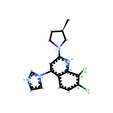 C[C@@H]1CCN(c2cc(-n3ccnc3)c3ccc(Cl)c(Cl)c3n2)C1